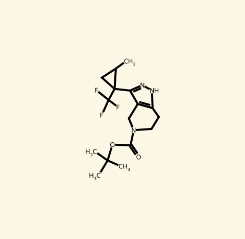 CC1CC1(c1n[nH]c2c1CN(C(=O)OC(C)(C)C)CC2)C(F)(F)F